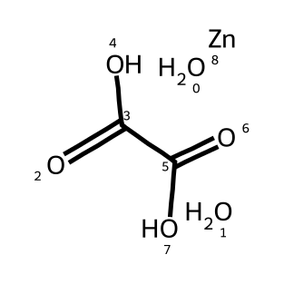 O.O.O=C(O)C(=O)O.[Zn]